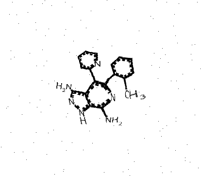 Cc1ccccc1-c1nc(N)c2[nH]nc(N)c2c1-c1ccccn1